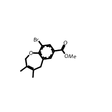 COC(=O)c1cc(Br)c2c(c1)CC(C)=C(C)CO2